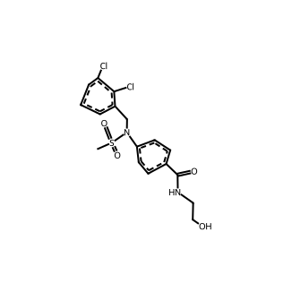 CS(=O)(=O)N(Cc1cccc(Cl)c1Cl)c1ccc(C(=O)NCCO)cc1